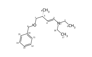 CCN(/C=C/[C@@H](C)COCc1ccccc1)CC